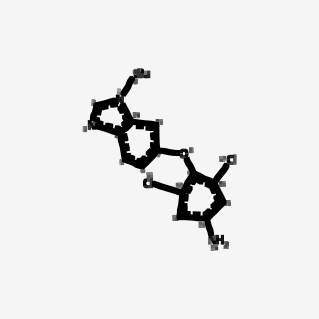 CC(C)(C)n1cnc2ccc(Oc3c(Cl)cc(N)cc3Cl)cc21